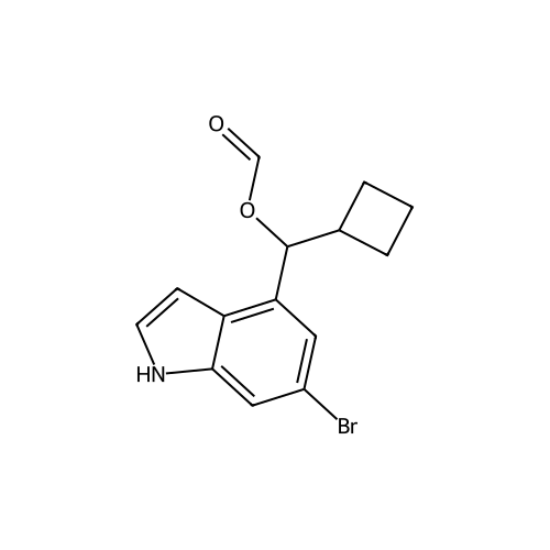 O=COC(c1cc(Br)cc2[nH]ccc12)C1CCC1